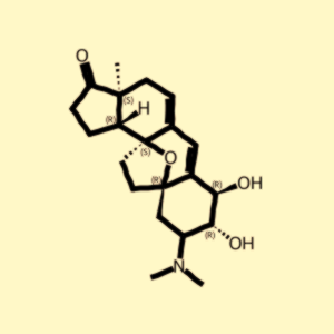 CN(C)C1C[C@@]23CC[C@@]4(O2)C(=CC[C@]2(C)C(=O)CC[C@H]24)C=C3[C@@H](O)[C@@H]1O